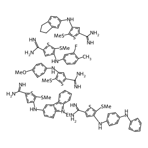 CCn1c2ccccc2c2cc(Nc3cc(C(=N)N)sc3SC)ccc21.COc1ccc(Nc2cc(C(=N)N)sc2SC)cc1.CSc1sc(C(=N)N)cc1Nc1ccc(C)c(F)c1.CSc1sc(C(=N)N)cc1Nc1ccc(Nc2ccccc2)cc1.CSc1sc(C(=N)N)cc1Nc1ccc2c(c1)CCC2